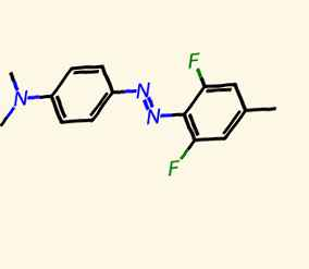 Cc1cc(F)c(/N=N/c2ccc(N(C)C)cc2)c(F)c1